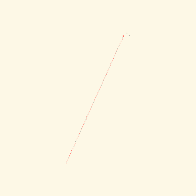 C#CC#CC#CC#CC#CC#CC#CC#CC#CC#CC#CC#CC#CC#CC#CC#CC#CC#CC#CC#CC#CC#CC#CC#CC#CC#CC#CC#CC#CC#CC#CC#CC#CC#CC#CC#CC#CC#CC#CC#CC#CC#CC#CC#CC#CC#CC#CC#CC#CC#CC#CC#CC#CC#N